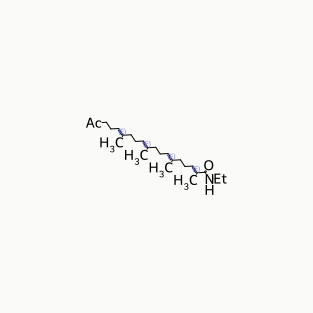 CCNC(=O)/C(C)=C/CC/C(C)=C/CC/C(C)=C/CC/C(C)=C/CCC(C)=O